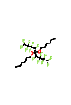 CCCCCC[O][Sn]([O]CCCCCC)([CH](F)C(F)(F)C(F)(F)C(F)F)[CH](F)C(F)(F)C(F)(F)C(F)F